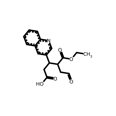 CCOC(=O)C(CC=O)C(CC(=O)O)c1cnc2ccccc2c1